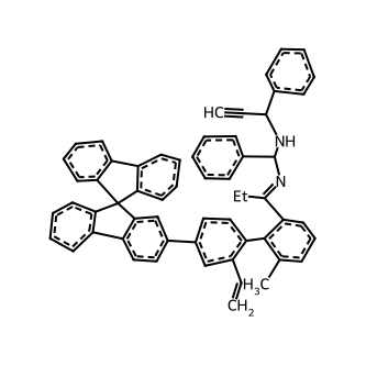 C#CC(NC(/N=C(\CC)c1cccc(C)c1-c1ccc(-c2ccc3c(c2)C2(c4ccccc4-c4ccccc42)c2ccccc2-3)cc1C=C)c1ccccc1)c1ccccc1